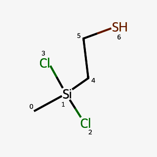 C[Si](Cl)(Cl)CCS